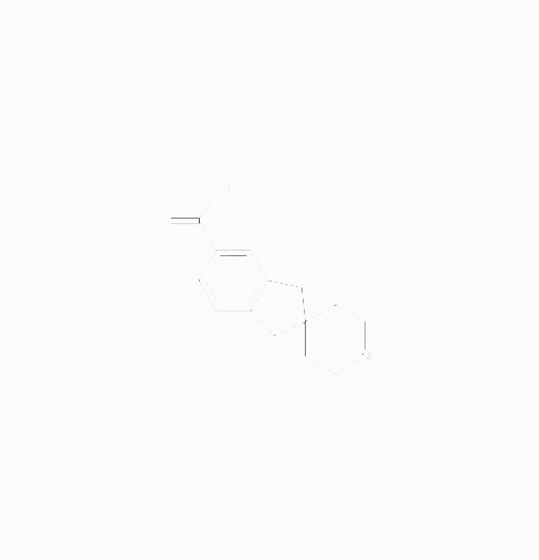 O=C(O)c1ccc2c(c1)CC1(CCNCC1)C2